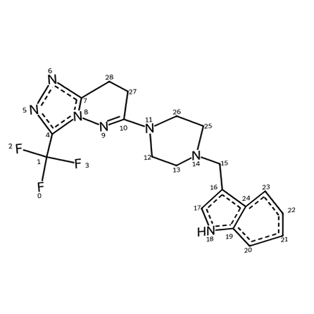 FC(F)(F)c1nnc2n1N=C(N1CCN(Cc3c[nH]c4ccccc34)CC1)CC2